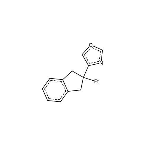 CCC1(c2cocn2)Cc2ccccc2C1